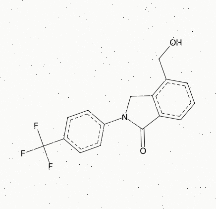 O=C1c2cccc(CO)c2CN1c1ccc(C(F)(F)F)cc1